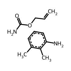 C=CCOC(N)=O.Cc1cccc(N)c1C